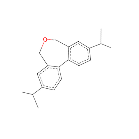 CC(C)c1ccc2c(c1)COCc1cc(C(C)C)ccc1-2